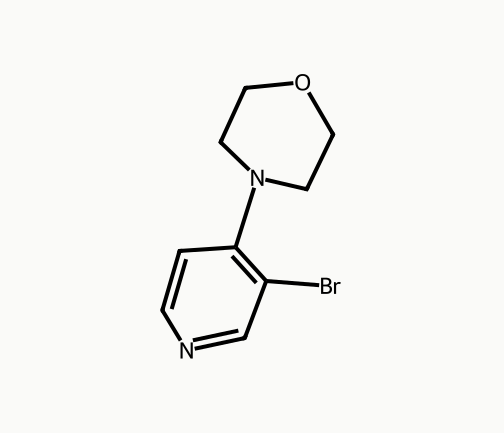 Brc1cnccc1N1CCOCC1